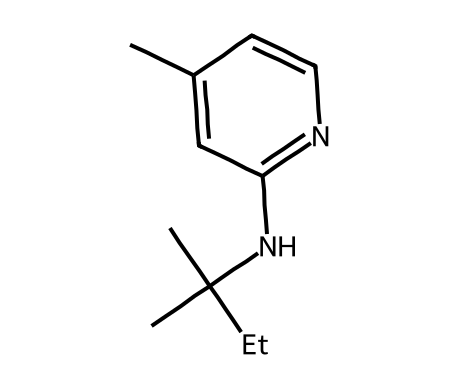 CCC(C)(C)Nc1cc(C)ccn1